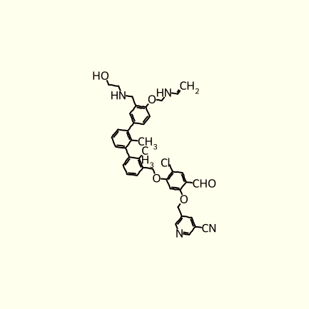 C=CNCOc1ccc(-c2cccc(-c3cccc(COc4cc(OCc5cncc(C#N)c5)c(C=O)cc4Cl)c3C)c2C)cc1CNCCO